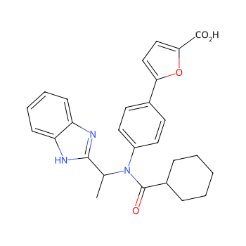 CC(c1nc2ccccc2[nH]1)N(C(=O)C1CCCCC1)c1ccc(-c2ccc(C(=O)O)o2)cc1